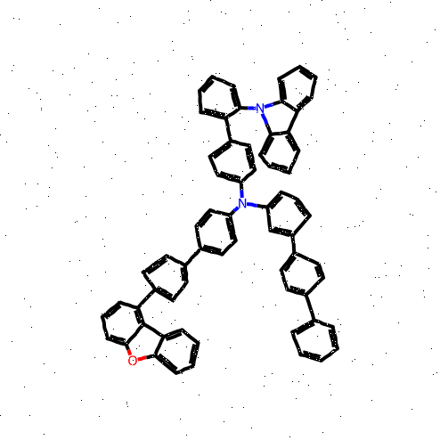 c1ccc(-c2ccc(-c3cccc(N(c4ccc(-c5ccc(-c6cccc7oc8ccccc8c67)cc5)cc4)c4ccc(-c5ccccc5-n5c6ccccc6c6ccccc65)cc4)c3)cc2)cc1